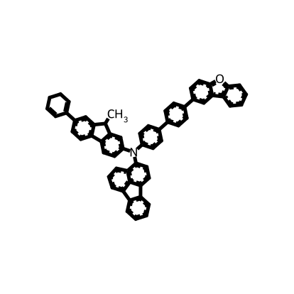 CC1c2cc(C3=CCCC=C3)ccc2-c2ccc(N(c3ccc(-c4ccc(-c5ccc6oc7ccccc7c6c5)cc4)cc3)c3ccc4c5c(cccc35)-c3ccccc3-4)cc21